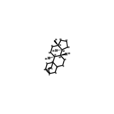 C=CC12CC=CCC1CC[C@@H]1[C@@H]2CC[C@]2(C)CCC[C@@H]12